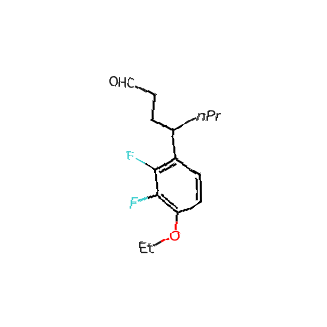 CCCC(CCC=O)c1ccc(OCC)c(F)c1F